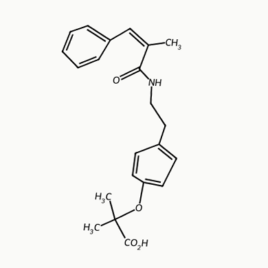 CC(=Cc1ccccc1)C(=O)NCCc1ccc(OC(C)(C)C(=O)O)cc1